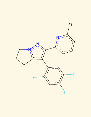 CCc1cccc(-c2nn3c(c2-c2cc(F)c(F)cc2F)CCC3)n1